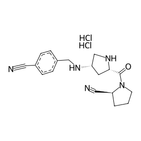 Cl.Cl.N#Cc1ccc(CN[C@@H]2CN[C@H](C(=O)N3CCC[C@H]3C#N)C2)cc1